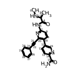 CNC(C)C(=O)Nc1ccc(-c2ccc(C(N)=O)nc2)c(C#Cc2ccccc2)n1